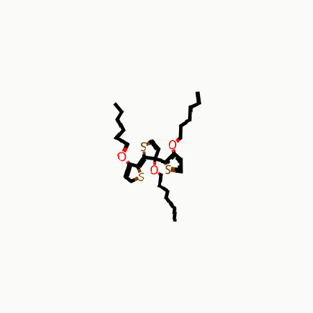 CCCCCCOC1=CCSC1=C1SC=CC1(OCCCCCC)c1sccc1OCCCCCC